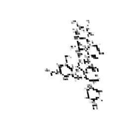 COc1cc(F)c([C@@H]2CN(c3nccc(N4C[C@@H](C)N(C)[C@@H](C)C4)c3C(F)(F)F)C(=O)[C@H]2NC(=O)c2ccc(Cl)cc2)c(F)c1